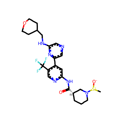 C[S+]([O-])N1CCC[C@H](C(=O)Nc2cc(-c3cncc(NCC4CCOCC4)n3)c(C(F)(F)F)cn2)C1